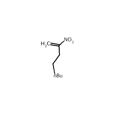 C=C(CCCCCC)[N+](=O)[O-]